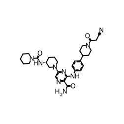 N#CCC(=O)N1CCC(c2ccc(Nc3nc(N4CCC[C@@H](NC(=O)N5CCCCC5)C4)cnc3C(N)=O)cc2)CC1